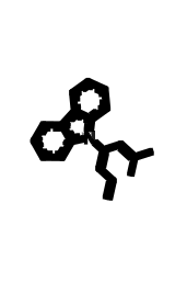 C=C/C=C(\C=C(C)C)n1c2ccccc2c2ccccc21